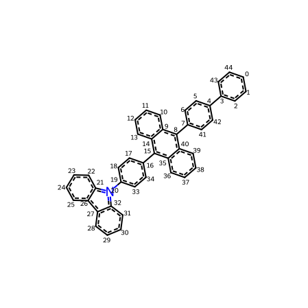 c1ccc(-c2ccc(-c3c4ccccc4c(-c4ccc(-n5c6ccccc6c6ccccc65)cc4)c4ccccc34)cc2)cc1